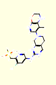 Cc1c(N2CCc3cnc(Nc4cnc(CS(C)(=O)=O)c(F)c4)nc3C2)cnc2c1NCCO2